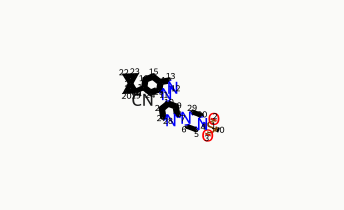 CS(=O)(=O)N1CCN(c2cc(-n3ncc4ccc([C@]5(C#N)CC56CC6)cc43)ccn2)CC1